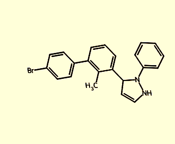 Cc1c(-c2ccc(Br)cc2)cccc1C1C=CNN1c1ccccc1